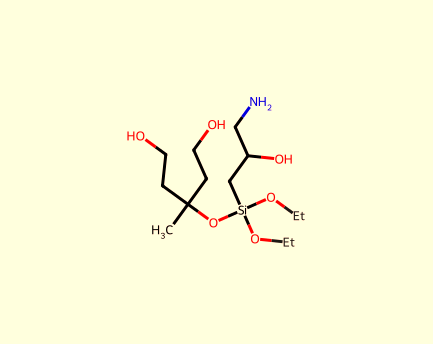 CCO[Si](CC(O)CN)(OCC)OC(C)(CCO)CCO